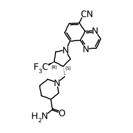 N#Cc1ccc(N2C[C@H](CN3CCCC(C(N)=O)C3)[C@@H](C(F)(F)F)C2)c2nccnc12